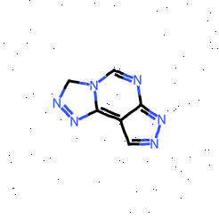 c1nnc2ncn3c(c1-2)N=NC3